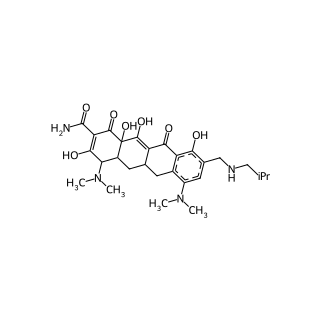 CC(C)CNCc1cc(N(C)C)c2c(c1O)C(=O)C1=C(O)C3(O)C(=O)C(C(N)=O)=C(O)C(N(C)C)C3CC1C2